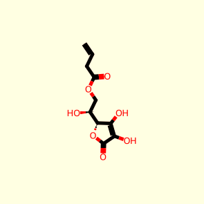 C=CCC(=O)OC[C@H](O)[C@H]1OC(=O)C(O)=C1O